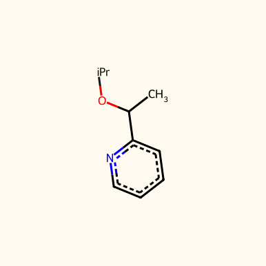 CC(C)OC(C)c1ccccn1